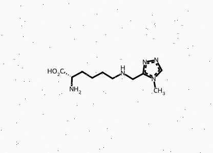 Cn1cnnc1CNCCCC[C@H](N)C(=O)O